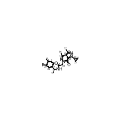 Cc1ccc([C@H](C)NC(=O)Cn2nc(C)c3c(C)nn(C4CC4)c3c2=O)cc1F